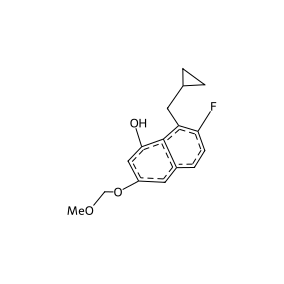 COCOc1cc(O)c2c(CC3CC3)c(F)ccc2c1